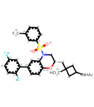 CC(=O)NC1CC(C[C@H]2CN(S(=O)(=O)c3cccc(C(F)(F)F)c3)c3cc(-c4cc(F)ccc4F)ccc3O2)(C(=O)O)C1